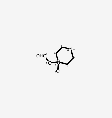 O=CO[N+]1([O-])CCNCC1